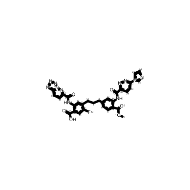 COC(=O)c1ccc(CCCc2cc(NC(=O)c3ccc4nnnn4n3)c(C(=O)O)cc2F)cc1NC(=O)c1ccc(-n2ccnc2)nn1